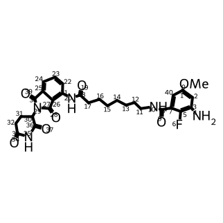 COc1cc(N)c(F)c(C(=O)NCCCCCCCC(=O)Nc2cccc3c2C(=O)N(C2CCC(=O)NC2=O)C3=O)c1